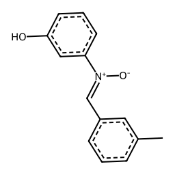 Cc1cccc(C=[N+]([O-])c2cccc(O)c2)c1